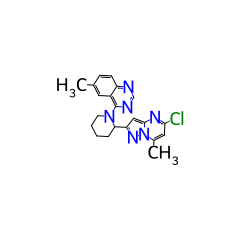 Cc1ccc2ncnc(N3CCCCC3c3cc4nc(Cl)cc(C)n4n3)c2c1